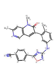 Cc1cc2c(cn1)cc(-c1cc(Nc3noc(-c4ccc(C#N)cc4)n3)ccc1C)c(=O)n2C